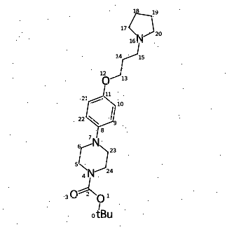 CC(C)(C)OC(=O)N1CCN(c2ccc(OCCCN3CCCC3)cc2)CC1